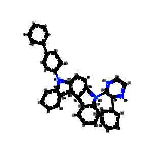 c1ccc(-c2ccc(-n3c4ccccc4c4c5c6ccccc6n(-c6nccnc6-c6ccccc6)c5ccc43)cc2)cc1